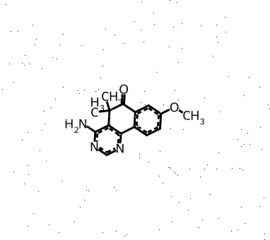 COc1ccc2c(c1)C(=O)C(C)(C)c1c(N)ncnc1-2